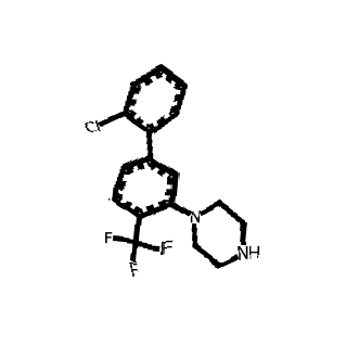 FC(F)(F)c1[c]cc(-c2ccccc2Cl)cc1N1CCNCC1